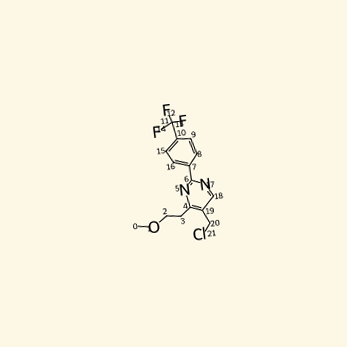 COCCc1nc(-c2ccc(C(F)(F)F)cc2)ncc1CCl